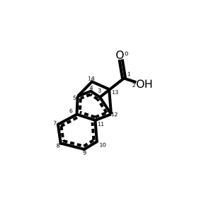 O=C(O)c1cc2c3ccccc3c1CC2